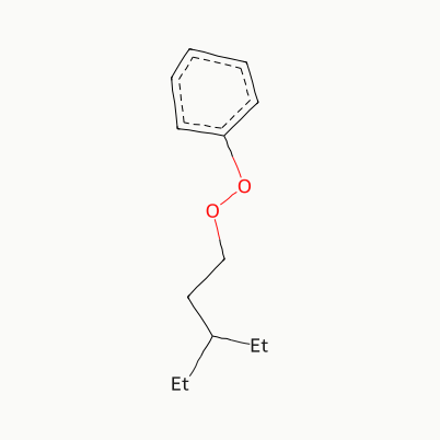 CCC(CC)CCOOc1ccccc1